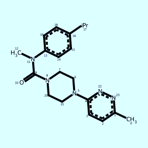 Cc1ccc(N2CCN(C(=O)N(C)c3ccc(C(C)C)cc3)CC2)nn1